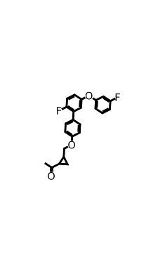 CC(=O)C1CC1COc1ccc(-c2cc(Oc3cccc(F)c3)ccc2F)cc1